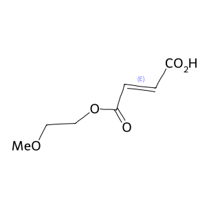 COCCOC(=O)/C=C/C(=O)O